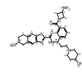 CC(C)(C)[C@H]1CCc2nc3sc(C(=O)N[C@H](CCN4CCC(O)CC4)c4cccc(C(=O)N5CC(N)C5)c4)nc3cc2C1